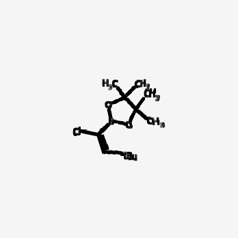 CC(C)(C)/C=C(/Cl)B1OC(C)(C)C(C)(C)O1